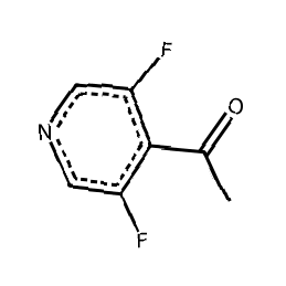 CC(=O)c1c(F)cncc1F